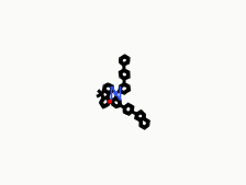 CC1(C)c2ccccc2-c2c(N(c3cccc(-c4ccc(-c5ccccc5)cc4)c3)c3cccc(-c4ccc(-c5ccc6ccccc6c5)cc4)c3)cccc21